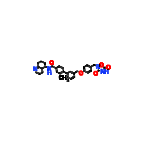 Cc1cc(C(=O)NC2CCCc3ncccc32)ccc1-c1cccc(COc2ccc(Cn3oc(=O)[nH]c3=O)cc2)c1